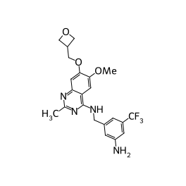 COc1cc2c(NCc3cc(N)cc(C(F)(F)F)c3)nc(C)nc2cc1OCC1COC1